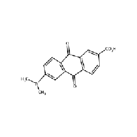 CN(C)c1ccc2c(c1)C(=O)c1ccc(C(=O)O)cc1C2=O